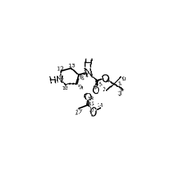 CC(C)(C)OC(=O)NC1CCNCC1.COC(C)=O